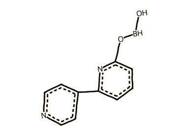 OBOc1cccc(-c2ccncc2)n1